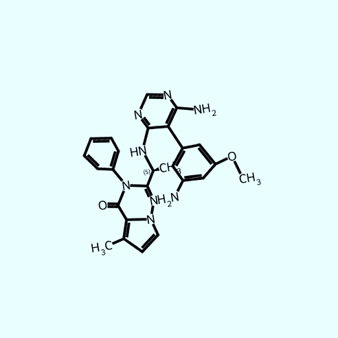 COc1cc(N)cc(-c2c(N)ncnc2N[C@@H](C)c2nn3ccc(C)c3c(=O)n2-c2ccccc2)c1